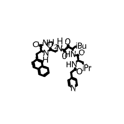 CCC(C)C(NC(=O)C(CC(C)C)NC(=O)Cc1ccncc1)C(=O)C(=O)NCC(=O)NC(Cc1ccc2ccccc2c1)C(N)=O